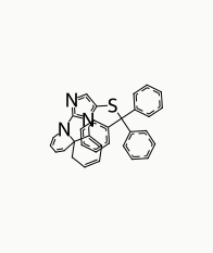 C1=CCC23C=CC=CN2c2ncc(SC(c4ccccc4)(c4ccccc4)c4ccccc4)n2C3=C1